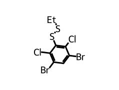 CCSSc1c(Cl)c(Br)cc(Br)c1Cl